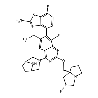 Nc1nc2c(-c3c(CC(F)(F)F)cc4c(N5CC6CCC(C5)N6)nc(OC[C@@]56CCCN5C[C@H](F)C6)nc4c3F)ccc(F)c2s1